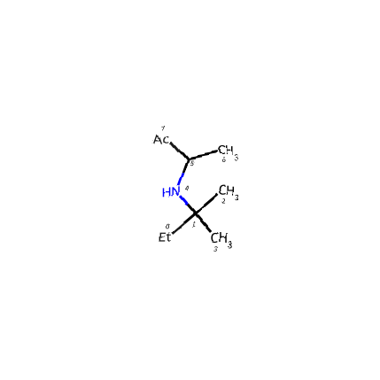 CCC(C)(C)NC(C)C(C)=O